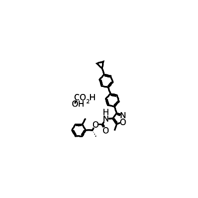 Cc1ccccc1[C@@H](C)OC(=O)Nc1c(-c2ccc(-c3ccc(C4CC4)cc3)cc2)noc1C.O=C(O)O